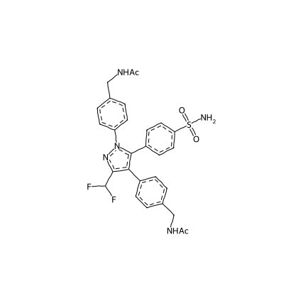 CC(=O)NCc1ccc(-c2c(C(F)F)nn(-c3ccc(CNC(C)=O)cc3)c2-c2ccc(S(N)(=O)=O)cc2)cc1